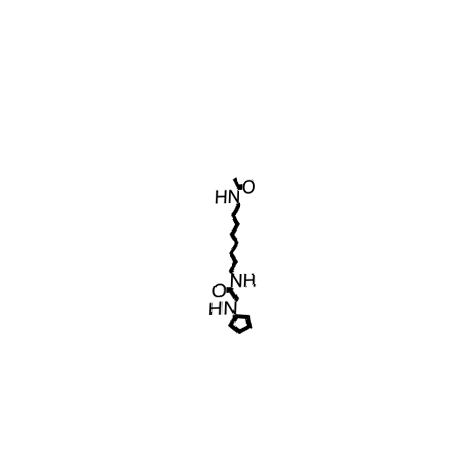 CC(=O)NCCCCCCCCNC(=O)CNC1CCCC1